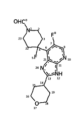 O=CN1CCC(F)(c2c(F)cnc3[nH]c(C4CCOCC4)nc23)CC1